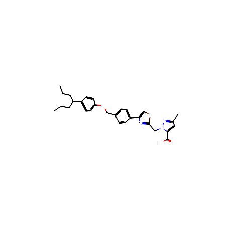 CCCC(CCC)c1ccc(OCc2ccc(-c3csc(Cn4nc(C)cc4C(=O)O)n3)cc2)cc1